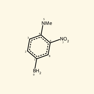 Bc1ccc(NC)c([N+](=O)[O-])c1